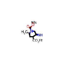 CCOC(=O)C1C[C@@H](C)N(C(=O)OC(C)(C)C)CC1=N